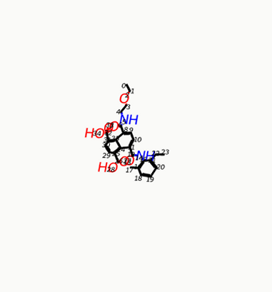 CCOCCNC(=O)c1ccc(C(=O)Nc2c(C)cccc2CC)c2c(C(=O)O)ccc(C(=O)O)c12